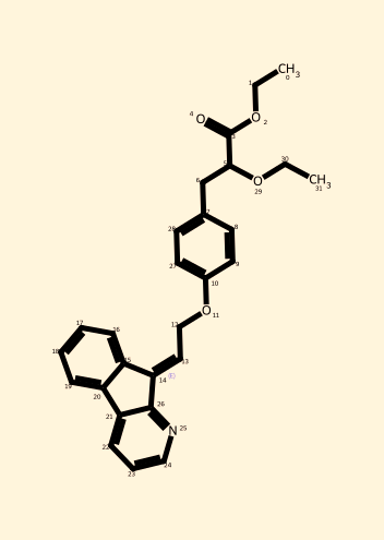 CCOC(=O)C(Cc1ccc(OC/C=C2\c3ccccc3-c3cccnc32)cc1)OCC